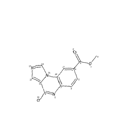 COC(=O)c1ccc2nc(Cl)c3cncn3c2c1